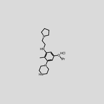 Cc1c(NCCN2CCCC2)cc(OC(C)C)cc1N1CCNCC1.Cl